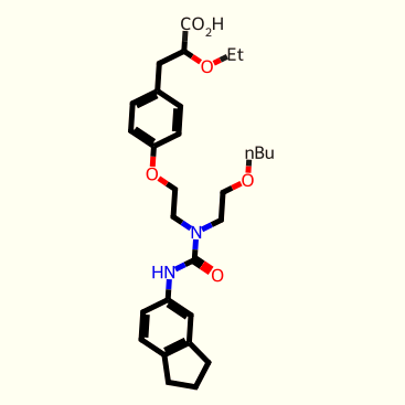 CCCCOCCN(CCOc1ccc(CC(OCC)C(=O)O)cc1)C(=O)Nc1ccc2c(c1)CCC2